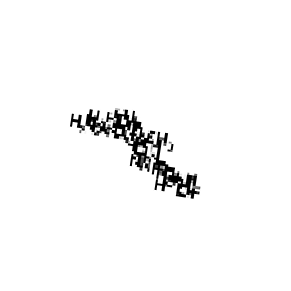 [CH2]C(N(CCCOc1cc2ncnc(Nc3cc(CC(=O)Nc4cccc(F)c4F)[nH]n3)c2cc1OC)CCOC)(C(C)(C)C)C(C)(C)C